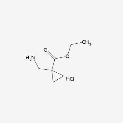 CCOC(=O)C1(CN)CC1.Cl